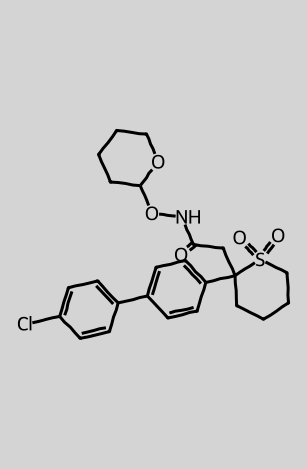 O=C(CC1(c2ccc(-c3ccc(Cl)cc3)cc2)CCCCS1(=O)=O)NOC1CCCCO1